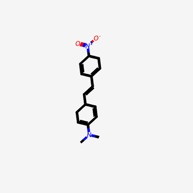 CN(C)C1=CCC(/C=C/C2=CCC([N+](=O)[O-])C=C2)C=C1